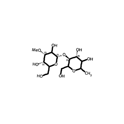 CO[C@@H]1C(O)[C@H](O[C@@H]2C(CO)OC(C)C(O)[C@H]2O)OC(CO)[C@@H]1O